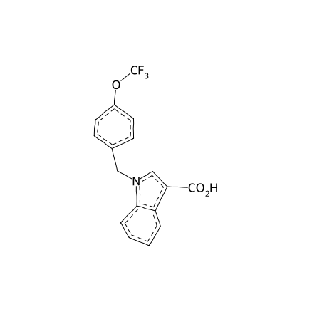 O=C(O)c1cn(Cc2ccc(OC(F)(F)F)cc2)c2ccccc12